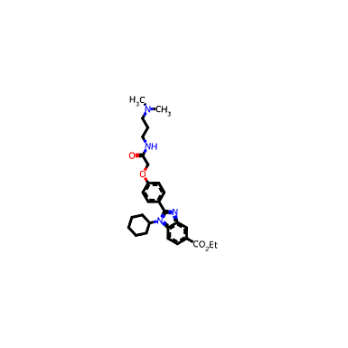 CCOC(=O)c1ccc2c(c1)nc(-c1ccc(OCC(=O)NCCCN(C)C)cc1)n2C1CCCCC1